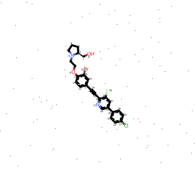 OC[C@@H]1CCCN1CCOc1ccc(C#Cc2ncc(-c3ccc(Cl)cc3)cc2F)cc1Br